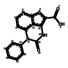 O=C(O)c1sc2nccc3c2c1NC(=O)N3c1ccccc1